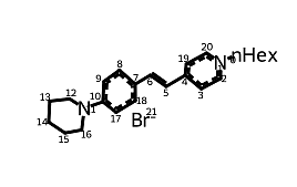 CCCCCC[n+]1ccc(/C=C/c2ccc(N3CCCCC3)cc2)cc1.[Br-]